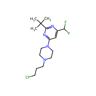 CC(C)(C)c1nc(C(F)F)cc(N2CCN(CCCCl)CC2)n1